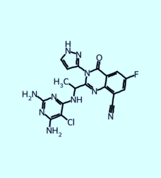 CC(Nc1nc(N)nc(N)c1Cl)c1nc2c(C#N)cc(F)cc2c(=O)n1-c1cc[nH]n1